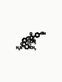 CN1CCN(C(N)=O)C(c2cc(CN3C(=O)N(c4ccc(C(C)(C)C)cc4)C(=O)C3(C)C)ccn2)C1